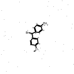 COc1ccc(C(Br)c2ccc(P)cc2)cc1